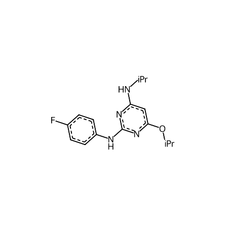 CC(C)Nc1cc(OC(C)C)nc(Nc2ccc(F)cc2)n1